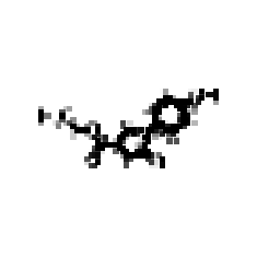 CCOC(=O)C1CC(=O)N(c2ccc(O)cc2)C1